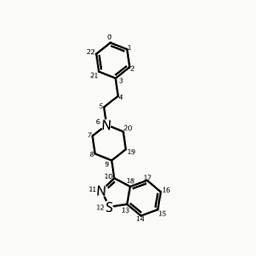 c1ccc(CCN2CCC(c3nsc4ccccc34)CC2)cc1